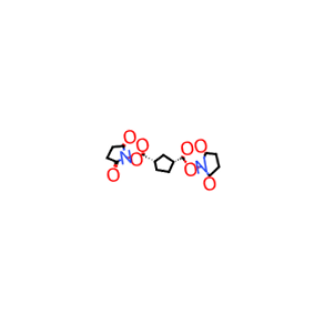 O=C(ON1C(=O)CCC1=O)[C@@H]1CC[C@H](C(=O)ON2C(=O)CCC2=O)C1